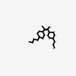 CCCCC1CCC(/C(C)=C(/C)C2CCC(CCC)CC2)CC1